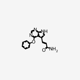 NC(=O)/C=C/c1c[nH]c2ncnc(Oc3ccccc3)c12